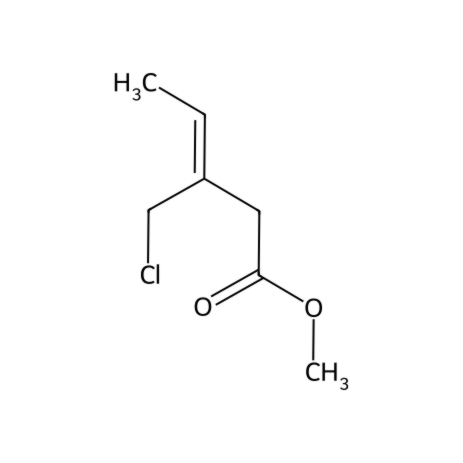 CC=C(CCl)CC(=O)OC